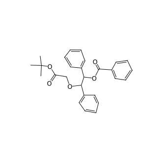 CC(C)(C)OC(=O)COC(c1ccccc1)C(OC(=O)c1ccccc1)c1ccccc1